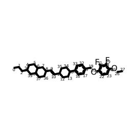 CCCC1CCC2CC(/C=C/C3CCC(c4ccc(COc5ccc(OCC)c(F)c5F)cc4)CC3)CCC2C1